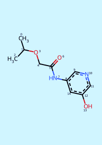 CC(C)OCC(=O)Nc1cncc(O)c1